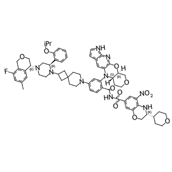 Cc1cc(F)c2c(c1)[C@@H](N1CCN(C3CC4(CCN(c5ccc(C(=O)NS(=O)(=O)c6cc7c(c([N+](=O)[O-])c6)N[C@H](C6CCOCC6)CO7)c(N6c7cc8cc[nH]c8nc7O[C@H]7COCC[C@@H]76)c5)CC4)C3)[C@H](c3ccccc3OC(C)C)C1)COC2